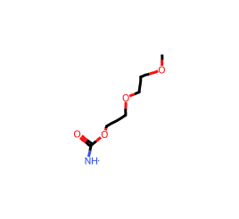 COCCOCCOC([NH])=O